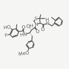 COc1ccc(C[C@H](NC(=O)c2ccc(F)c(O)c2C)[C@H](O)C(=O)N2CSC(C)(C)C2C(=O)NCc2ccccc2C)cc1